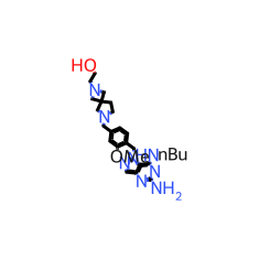 CCCCNc1nc(N)nc2cnn(Cc3ccc(CN4CCC5(C4)CN(CCO)C5)cc3OC)c12